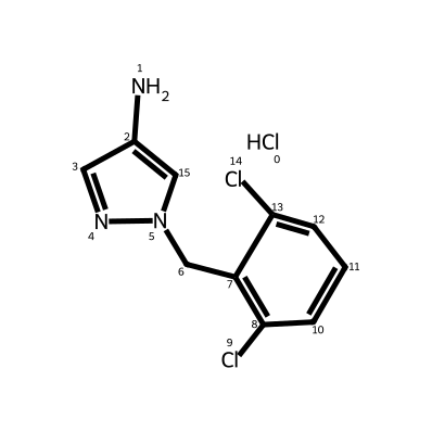 Cl.Nc1cnn(Cc2c(Cl)cccc2Cl)c1